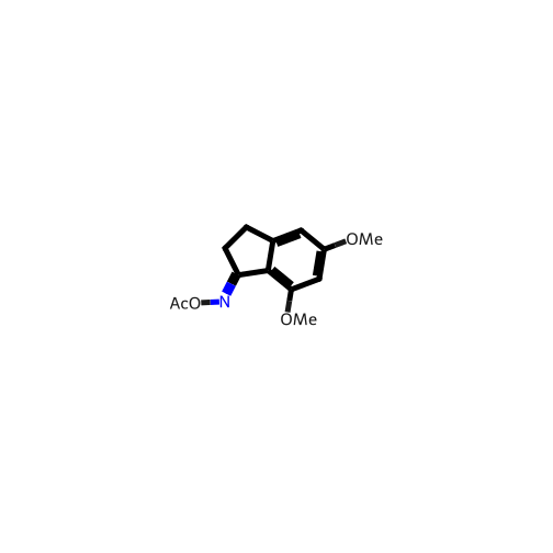 COc1cc2c(c(OC)c1)/C(=N/OC(C)=O)CC2